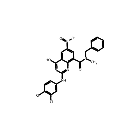 CN(Cc1ccccc1)C(=O)c1cc([N+](=O)[O-])cc2c(O)nc(Nc3ccc(Cl)c(Cl)c3)nc12